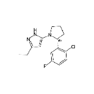 CCc1cc(N2CCC[C@@H]2c2cc(F)ccc2Cl)[nH]n1